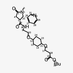 CN1C(=O)C[C@H](C(=O)NCCOC2CCC(OCCC(=O)OC(C)(C)C)CC2)[C@H]1c1cccnc1